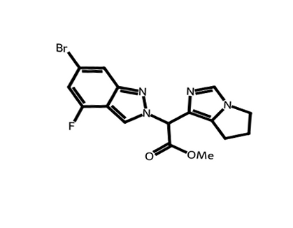 COC(=O)C(c1ncn2c1CCC2)n1cc2c(F)cc(Br)cc2n1